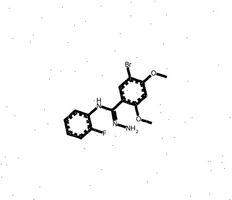 COc1cc(OC)c(/C(=N\N)Nc2ccccc2F)cc1Br